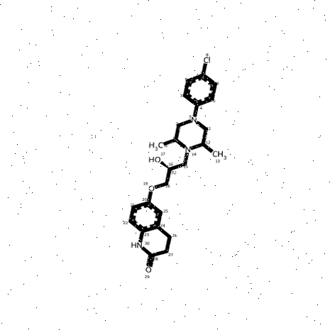 CC1CN(c2ccc(Cl)cc2)CC(C)N1C[C@H](O)COc1ccc2c(c1)CCC(=O)N2